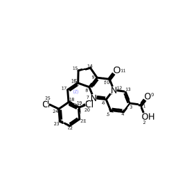 O=C(O)c1ccc2nc3c(c(=O)n2c1)CC/C3=C/c1c(Cl)cccc1Cl